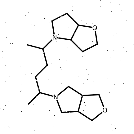 CC(CCC(C)N1CCC2OCCC21)N1CC2COCC2C1